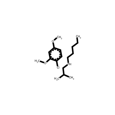 CCCCCPCC(C)C.COc1ccc(Cl)c(OC)c1